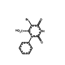 O=C(O)c1c(Br)c(=O)[nH]c(=O)n1-c1ccccc1